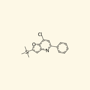 C[Si](C)(C)c1cc2nc(-c3ccccc3)cc(Cl)c2o1